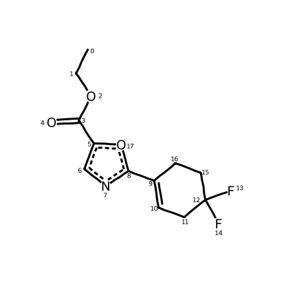 CCOC(=O)c1cnc(C2=CCC(F)(F)CC2)o1